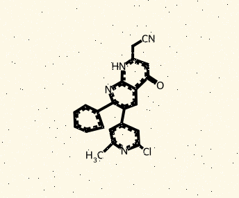 Cc1cc(-c2cc3c(=O)cc(CC#N)[nH]c3nc2-c2ccccc2)cc(Cl)n1